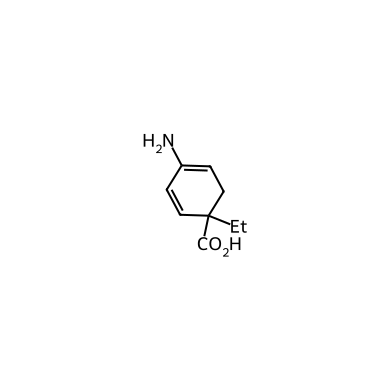 CCC1(C(=O)O)C=CC(N)=CC1